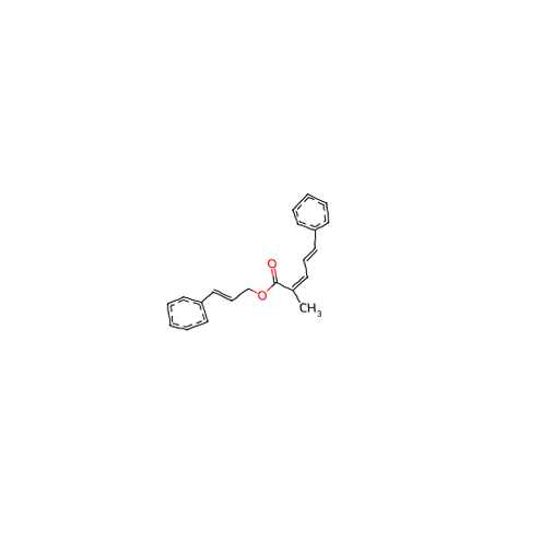 CC(=CC=Cc1ccccc1)C(=O)OCC=Cc1ccccc1